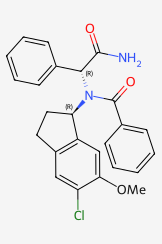 COc1cc2c(cc1Cl)CC[C@H]2N(C(=O)c1ccccc1)[C@@H](C(N)=O)c1ccccc1